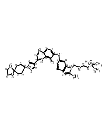 Cc1nc2ccc(Oc3ccc4ncc(-c5cnn(C6CCC7(CC6)OCCO7)c5)nc4c3Cl)cc2n1COCC[Si](C)(C)C